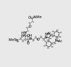 CNC(=O)CCOCCNS(=O)(=O)C(CCSSC)C(=O)NCCOCCn1nnc2c1-c1ccccc1CN(C(C)=O)c1ccccc1-2